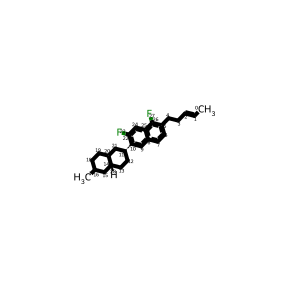 C/C=C/CCc1ccc2cc([C@@H]3CC[C@@H]4CC(C)CCC4C3)c(F)cc2c1F